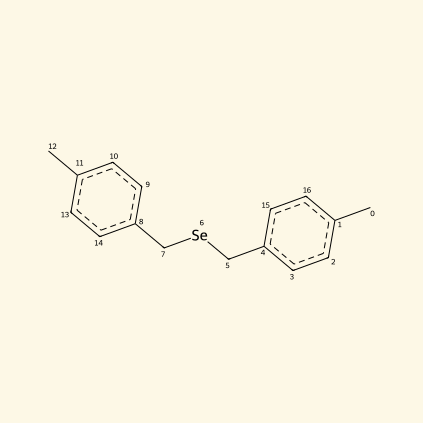 Cc1ccc(C[Se]Cc2ccc(C)cc2)cc1